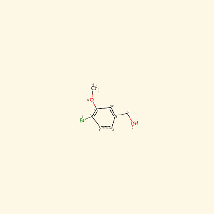 OCc1ccc(Br)c(OC(F)(F)F)c1